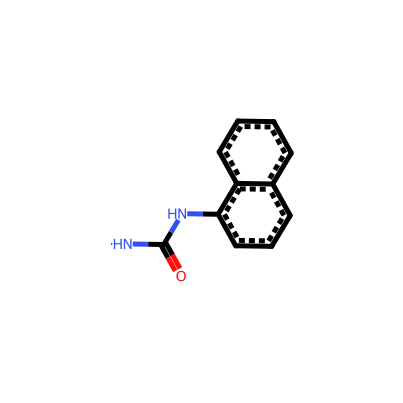 [NH]C(=O)Nc1cccc2ccccc12